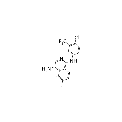 Cc1[c]c2c(N)cnc(Nc3ccc(Cl)c(C(F)(F)F)c3)c2cc1